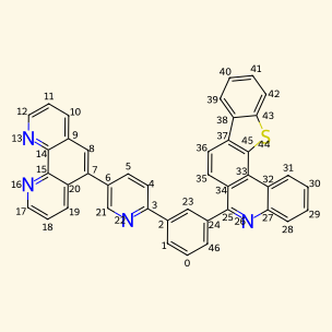 c1cc(-c2ccc(-c3cc4cccnc4c4ncccc34)cn2)cc(-c2nc3ccccc3c3c2ccc2c4ccccc4sc23)c1